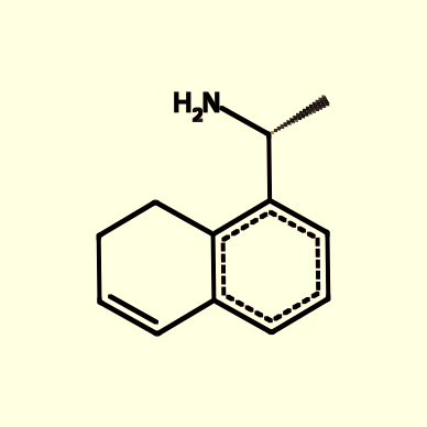 C[C@@H](N)c1cccc2c1CCC=C2